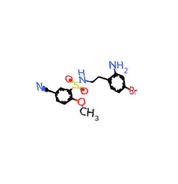 COc1ccc(C#N)cc1S(=O)(=O)NCCc1ccc(Br)cc1N